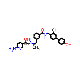 Cc1cc(-c2ccc(O)cc2)ccc1CNC(=O)c1cccc(C[C@@H](C)NC[C@H](O)c2ccc(N)nc2)c1